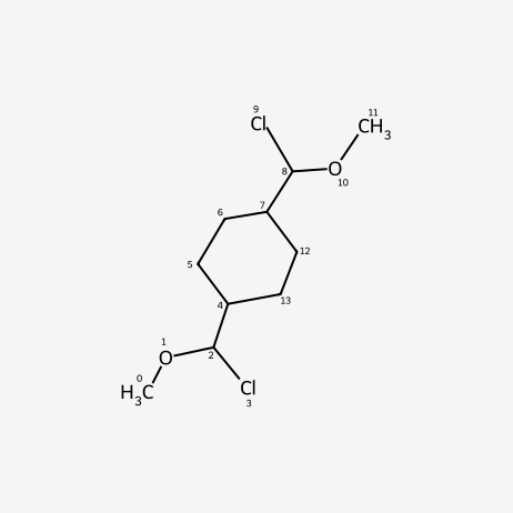 COC(Cl)C1CCC(C(Cl)OC)CC1